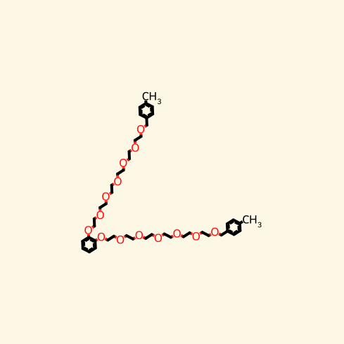 Cc1ccc(COCCOCCOCCOCCOCCOCCOc2ccccc2OCCOCCOCCOCCOCCOCCOCc2ccc(C)cc2)cc1